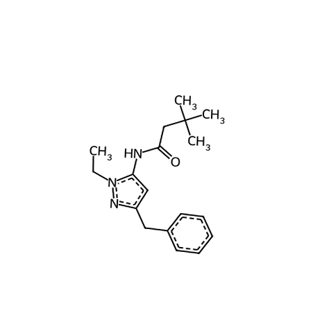 CCn1nc(Cc2ccccc2)cc1NC(=O)CC(C)(C)C